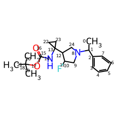 CC(c1ccccc1)N1CC(F)C(C2(NC(=O)OC(C)(C)C)CC2)C1